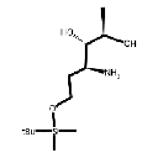 C[C@@H](O)[C@@H](O)[C@@H](N)CCO[Si](C)(C)C(C)(C)C